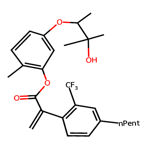 C=C(C(=O)Oc1cc(OC(C)C(C)(C)O)ccc1C)c1ccc(CCCCC)cc1C(F)(F)F